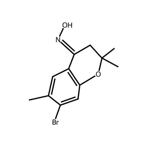 Cc1cc2c(cc1Br)OC(C)(C)C/C2=N\O